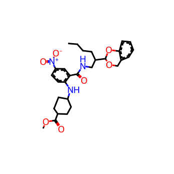 CCCCC(CNC(=O)c1cc([N+](=O)[O-])ccc1NC1CCC(C(=O)OC)CC1)C1OCc2ccccc2O1